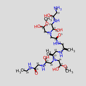 C=C(CNC(=O)CN(CC(O)OC)C(O)CNC(O)CN)NCC(=C)N(CC(O)NCC(=O)NCC)CC(O)OC